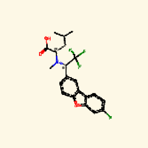 CC(C)C[C@@H](C(=O)O)N(C)[C@@H](c1ccc2oc3cc(F)ccc3c2c1)C(F)(F)F